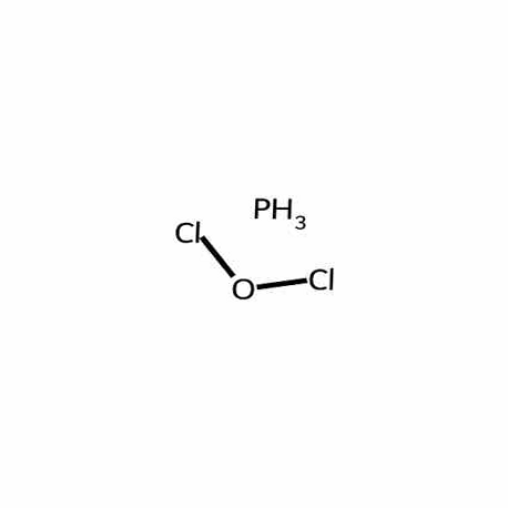 ClOCl.P